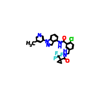 Cc1cncc(-n2ncc3c(NC(=O)c4cc(CNC(=O)C5(C(F)(F)F)CC5)ccc4Cl)cccc32)c1